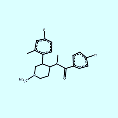 Cc1cc(F)ccc1C1CN(C(=O)O)CCC1N(C)C(=O)c1ccc(Cl)cc1